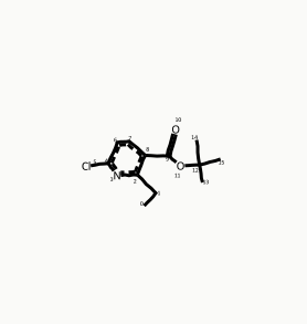 CCc1nc(Cl)ccc1C(=O)OC(C)(C)C